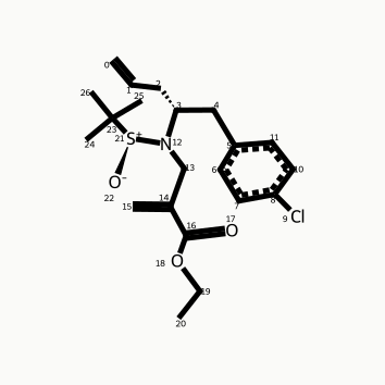 C=CC[C@H](Cc1ccc(Cl)cc1)N(CC(=C)C(=O)OCC)[S@@+]([O-])C(C)(C)C